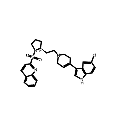 O=S(=O)(c1ccc2ccccc2n1)N1CCC[C@H]1CCN1CC=C(c2c[nH]c3ccc(Cl)cc23)CC1